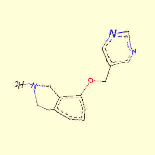 [2H]N1Cc2cccc(OCc3cncnc3)c2C1